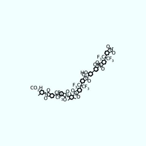 Cc1cc(C(=O)O)cc(N2C(=O)c3ccc(C(c4ccc5c(c4)C(=O)N(c4c(C)cc(C)c(N6C(=O)c7ccc(C(c8ccc9c(c8)C(=O)N(c8ccc(-c%10ccc(N%11C(=O)c%12ccc(C(c%13ccc%14c(c%13)C(=O)N(C)C%14=O)(C(F)(F)F)C(F)(F)F)cc%12C%11=O)c(O)c%10)cc8O)C9=O)(C(F)(F)F)C(F)(F)F)cc7C6=O)c4C)C5=O)(C(F)(F)F)C(F)(F)F)cc3C2=O)c1